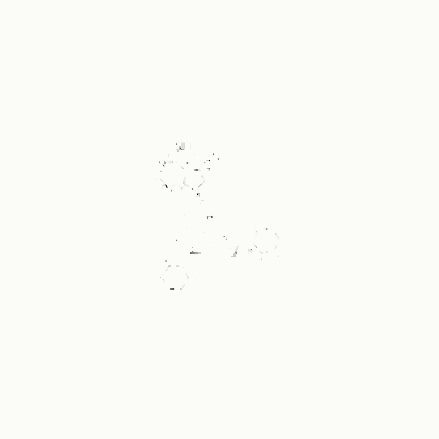 CC1(F)C(OC(=O)c2ccccc2)C(COC(=O)c2ccccc2)OC1n1cc(C#N)c2c(N)ncnc21